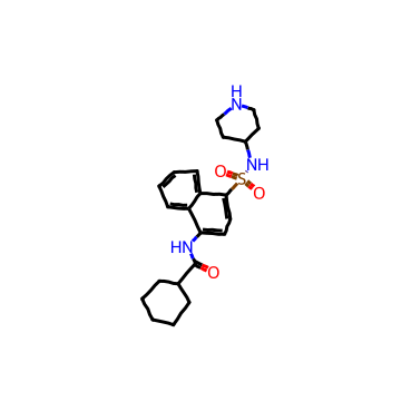 O=C(Nc1ccc(S(=O)(=O)NC2CCNCC2)c2ccccc12)C1CCCCC1